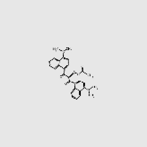 CC(=O)ON=C(C(=O)c1ccc(N(C)C)c2ccccc12)C(=O)c1ccc(N(C)C)c2ccccc12